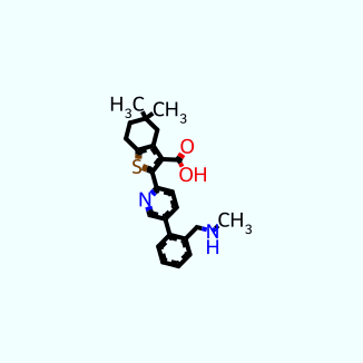 CNCc1ccccc1-c1ccc(-c2sc3c(c2C(=O)O)CC(C)(C)CC3)nc1